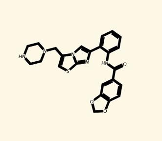 O=C(Nc1ccccc1-c1cn2c(CN3CCNCC3)csc2n1)c1ccc2c(c1)OCO2